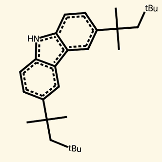 CC(C)(C)CC(C)(C)c1ccc2[nH]c3ccc(C(C)(C)CC(C)(C)C)cc3c2c1